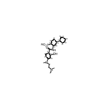 CN(C)CCN(C)c1ccc(C(=O)Nc2cc(-c3ccccc3)ccc2C(=O)O)c(O)c1